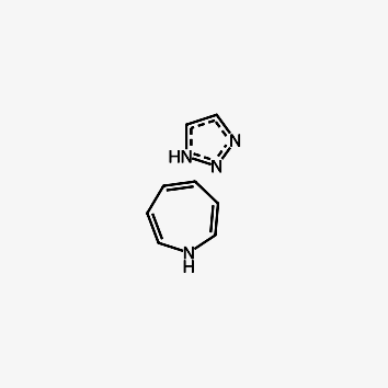 C1=CC=CNC=C1.c1c[nH]nn1